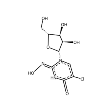 O=c1[nH]/c(=N\O)n([C@@H]2O[C@H](CO)[C@@H](O)[C@H]2O)cc1Cl